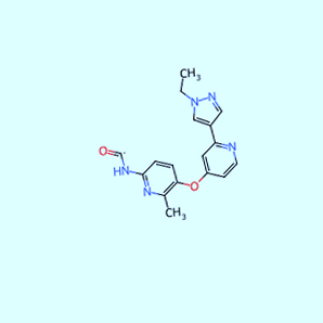 CCn1cc(-c2cc(Oc3ccc(N[C]=O)nc3C)ccn2)cn1